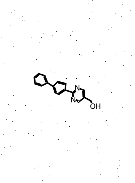 OCc1cnc(-c2ccc(-c3ccccc3)cc2)nc1